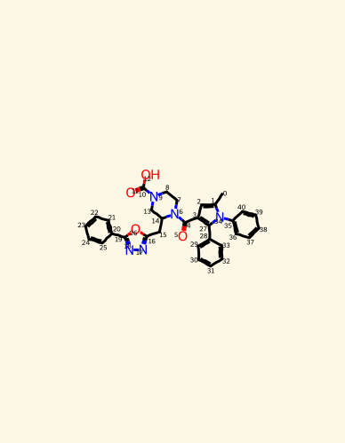 Cc1cc(C(=O)N2CCN(C(=O)O)CC2Cc2nnc(-c3ccccc3)o2)c(-c2ccccc2)n1-c1ccccc1